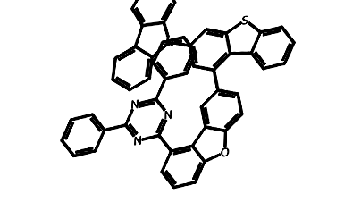 c1ccc(-c2nc(-c3ccccc3)nc(-c3cccc4oc5ccc(-c6cc(-n7c8ccccc8c8ccccc87)cc7sc8ccccc8c67)cc5c34)n2)cc1